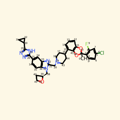 C[C@]1(c2ccc(Cl)cc2F)Oc2cccc(C3CCN(Cc4nc5cc(-c6nnc(C7CC7)[nH]6)ccc5n4C[C@@H]4CCO4)CC3)c2O1